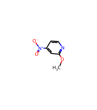 COc1cc([N+](=O)[O-])ccn1